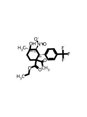 CCOC(=O)C1(C(C)=O)CC[C@@](C)(O)[C@@H]([N+](=O)[O-])[C@@H]1c1ccc(C(F)(F)F)cc1